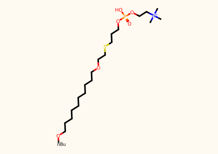 CCCCOCCCCCCCCCCOCCSCCCOP(=O)(O)OCC[N+](C)(C)C